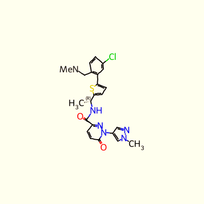 CNCc1ccc(Cl)cc1-c1ccc([C@@H](C)NC(=O)c2ccc(=O)n(-c3cnn(C)c3)n2)s1